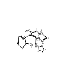 Clc1ccccc1-c1c(Cl)nc2ncnn2c1NC1CCCC1